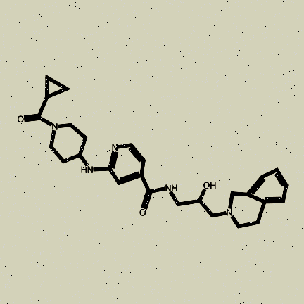 O=C(NCC(O)CN1CCc2ccccc2C1)c1ccnc(NC2CCN(C(=O)C3CC3)CC2)c1